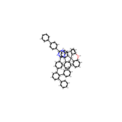 c1ccc(-c2ccc(-c3nc(-c4ccc(-c5cccc(-c6ccccc6)c5-c5ccccc5)cc4)nc(-c4cccc5c4C4(c6ccccc6O5)c5ccccc5-c5ccccc54)n3)cc2)cc1